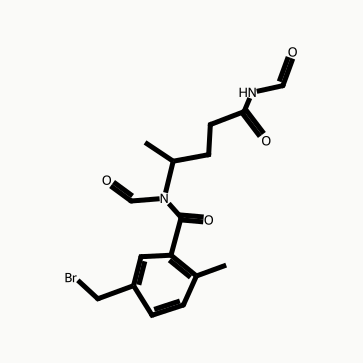 Cc1ccc(CBr)cc1C(=O)N(C=O)C(C)CCC(=O)NC=O